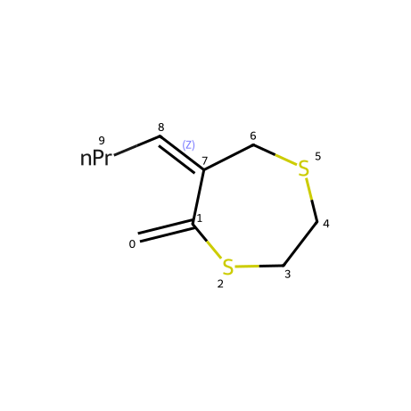 C=C1SCCSC/C1=C/CCC